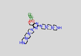 O=Cc1c(O)nc(N2CC[N+]3(CC2)CC[N+]2(CCNCC2)CC3)nc1N1CC[N+]2(CC1)CC[N+]1(CCNCC1)CC2.[Cl-].[Cl-].[Cl-].[Cl-]